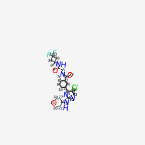 CC1(NC(=O)CN2Cc3ccc(-c4nc(NC5CCOCC5)ncc4Cl)cc3C2=O)CC(F)(F)C1